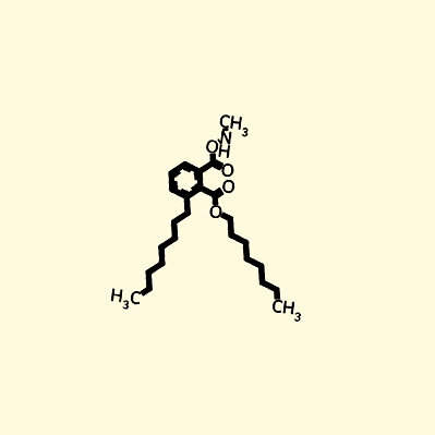 CCCCCCCCOC(=O)c1c(CCCCCCCC)cccc1C(=O)ONC